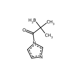 BC(C)(C)C(=O)n1ccnc1